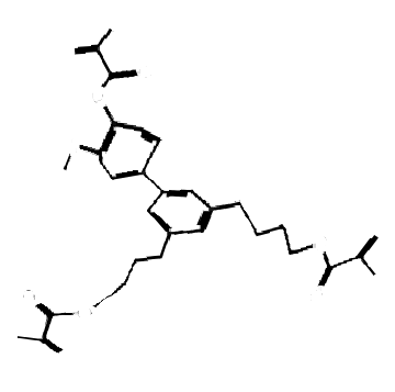 C=C(C)C(=O)OCCCCc1cc(CCCCOC(=O)C(=C)C)cc(-c2ccc(OC(=O)C(=C)C)c(SC)c2)c1